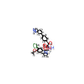 C[C@@H](NC(=O)C(=O)c1ccc(-c2ccc3cnn(C)c3c2)cc1)[C@](O)(c1ccc(OC2CC2)c(Cl)c1)N1CCCC1